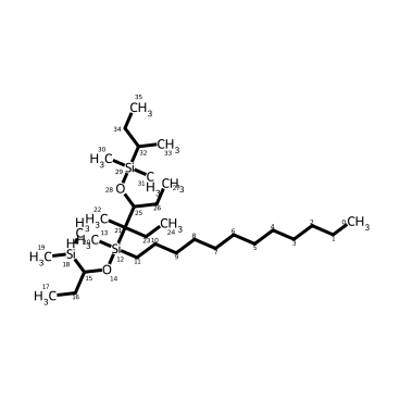 CCCCCCCCCCCC[Si](C)(OC(CC)[SiH](C)C)C(C)(CC)C(CC)O[Si](C)(C)C(C)CC